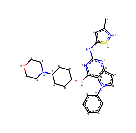 Cc1cc(Nc2nc(O[C@H]3CC[C@H](N4CCOCC4)CC3)c3c(ccn3-c3ccccc3)n2)sn1